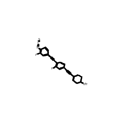 CCCC1CCC(C#Cc2ccc(C#Cc3ccc(N=C=S)c(F)c3)c(F)c2)CC1